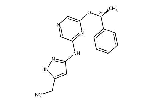 C[C@H](Oc1cncc(Nc2cc(CC#N)[nH]n2)n1)c1ccccc1